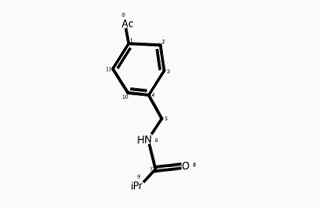 CC(=O)c1ccc(CNC(=O)C(C)C)cc1